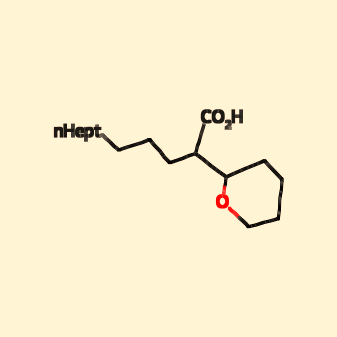 CCCCCCCCCCC(C(=O)O)C1CCCCO1